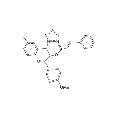 COc1ccc(C(=O)C(OC(=O)C=Cc2ccccc2)C(c2cccc(C)c2)n2nccn2)cc1